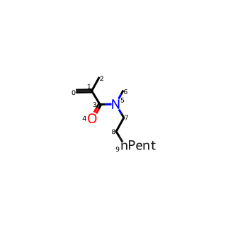 C=C(C)C(=O)N(C)CCCCCCC